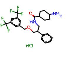 Cl.NC1CCC(C(=O)NCC(COCc2cc(C(F)(F)F)cc(C(F)(F)F)c2)c2ccccc2)CC1